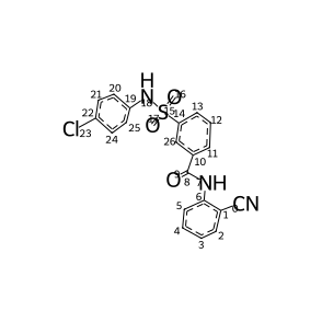 N#Cc1ccccc1NC(=O)c1cccc(S(=O)(=O)Nc2ccc(Cl)cc2)c1